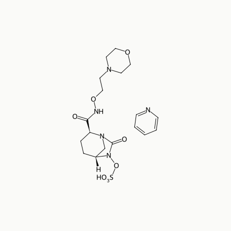 O=C(NOCCN1CCOCC1)[C@@H]1CC[C@@H]2CN1C(=O)N2OS(=O)(=O)O.c1ccncc1